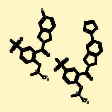 C[C@H](Oc1ccc(S(C)(=O)=O)cc1C(=O)N1Cc2ccc(-c3cccs3)cc2C1)C(F)(F)F.C[C@H](Oc1ccc(S(C)(=O)=O)cc1C(=O)N1Cc2ccc(I)cc2C1)C(F)(F)F